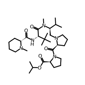 CC(C)OC(=O)[C@@H]1CCCN1C(=O)[C@@H]1CCCN1C[C@H](C(C)C)N(C)C(=O)[C@@H](NC(=O)[C@H]1CCCCN1C)C(C)(C)C